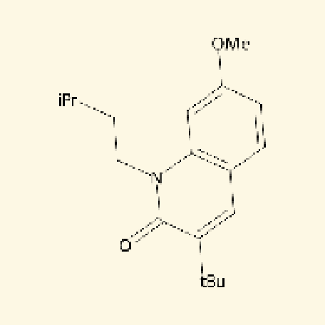 COc1ccc2cc(C(C)(C)C)c(=O)n(CCC(C)C)c2c1